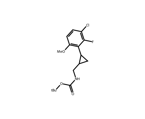 COc1ccc(Cl)c(F)c1C1CC1CNC(=O)OC(C)(C)C